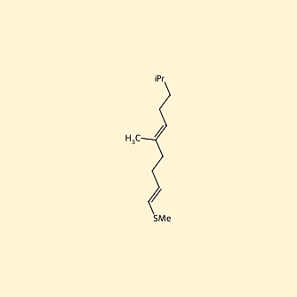 CS/C=C/CC/C(C)=C/CCC(C)C